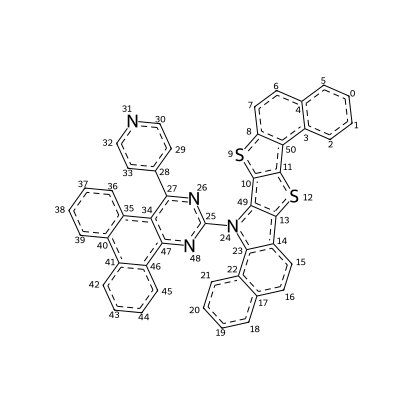 c1ccc2c(c1)ccc1sc3c(sc4c5ccc6ccccc6c5n(-c5nc(-c6ccncc6)c6c7ccccc7c7ccccc7c6n5)c43)c12